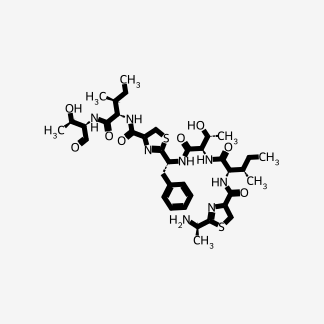 CC[C@H](C)[C@H](NC(=O)C1CSC([C@@H](C)N)=N1)C(=O)N[C@H](C(=O)N[C@H](Cc1ccccc1)C1=NC(C(=O)N[C@H](C(=O)N[C@H](C=O)[C@@H](C)O)[C@@H](C)CC)CS1)[C@@H](C)O